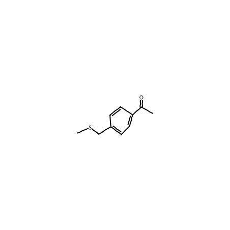 CSCc1ccc(C(C)=O)cc1